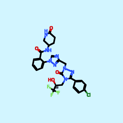 O=C1CCC(NC(=O)c2ccccc2-n2cnc(Cn3nc(-c4ccc(Cl)cc4)n(C[C@H](O)C(F)(F)F)c3=O)n2)CN1